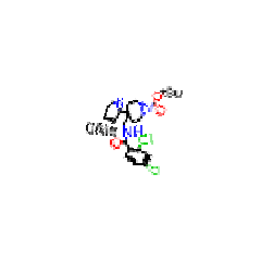 COc1cccnc1C1(CNC(=O)c2ccc(Cl)cc2Cl)CCN(C(=O)OC(C)(C)C)CC1